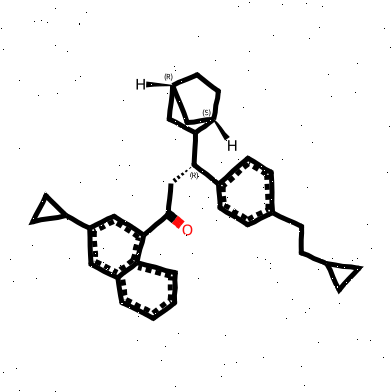 O=C(C[C@@H](c1ccc(CCC2CC2)cc1)C1C[C@@H]2CC[C@H]1C2)c1cc(C2CC2)cc2ccccc12